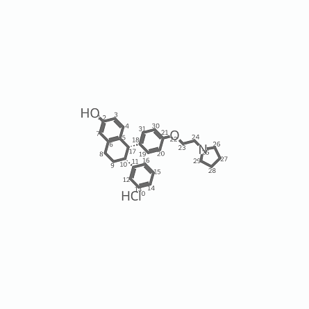 Cl.Oc1ccc2c(c1)CC[C@@H](c1ccccc1)[C@H]2c1ccc(OCCN2CCCC2)cc1